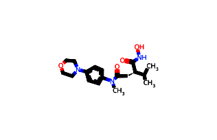 CC(C)[C@H](CC(=O)N(C)c1ccc(N2CCOCC2)cc1)C(=O)NO